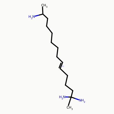 CC(N)CCCCCC/C=C/CCCC(C)(N)N